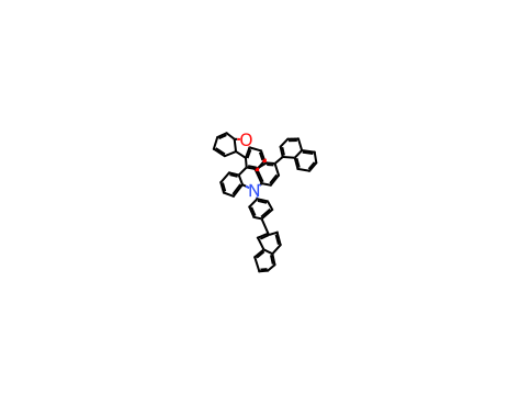 C1=CC2Oc3cccc(-c4ccccc4N(c4ccc(-c5ccc6ccccc6c5)cc4)c4ccc(-c5cccc6ccccc56)cc4)c3C2C=C1